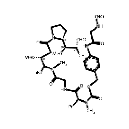 CCC(C)C([C@@H](CC(=O)N1CCC[C@H]1[C@H](OC)[C@@H](C)C=O)OC)N(C)C(=O)CNC(=O)C(C(C)C)N(C)C(=O)OCc1ccc(NC(=O)CNC=O)cc1